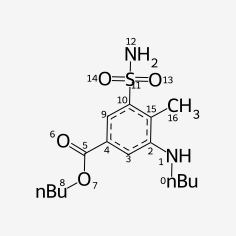 CCCCNc1cc(C(=O)OCCCC)cc(S(N)(=O)=O)c1C